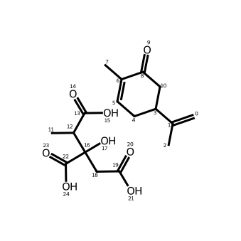 C=C(C)C1CC=C(C)C(=O)C1.CC(C(=O)O)C(O)(CC(=O)O)C(=O)O